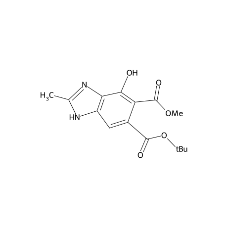 COC(=O)c1c(C(=O)OC(C)(C)C)cc2[nH]c(C)nc2c1O